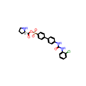 O=C(Nc1ccc(-c2ccc(S(=O)(=O)OC(=O)[C@@H]3CCCN3)cc2)cc1)Nc1ccccc1Cl